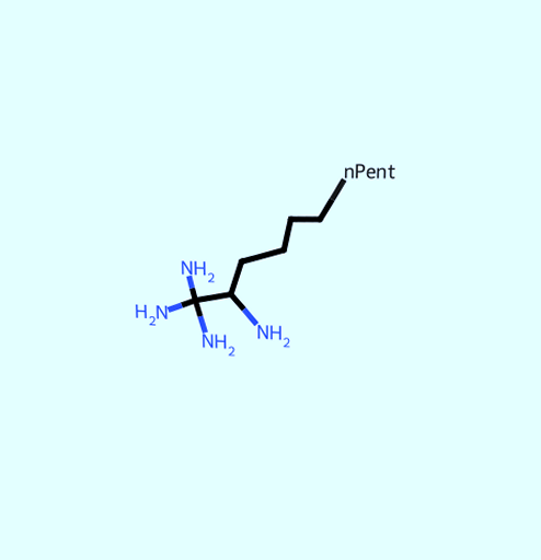 CCCCCCCCCC(N)C(N)(N)N